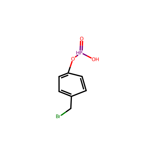 O=[PH](O)Oc1ccc(CBr)cc1